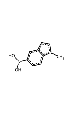 Cn1ccc2cc(N(O)O)ccc21